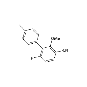 COc1c(C#N)ccc(F)c1-c1ccc(C)nc1